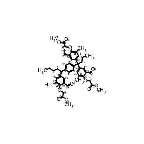 CCCCC(c1ccc(C(CCC)(c2cc(C)c(OCC(=O)OC)c(C=O)c2)c2cc(C)c(OCC(=O)OC)c(C=O)c2)cc1)c1cc(C)c(OCC(=O)OC)c(C=O)c1